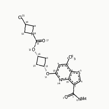 CNC(=O)c1csc2c(C(F)(F)F)cc(O[C@H]3C[C@@H](OC(=O)N4CC(Cl)C4)C3)nc12